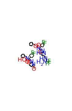 N[C@@H](CNCc1ccc2oc([C@@H](NC(=O)OCc3ccccc3)C3CCC(F)(F)CC3)nc2n1)C(F)(F)F.O=Cc1ccc2oc([C@H](C3CCC(F)(F)CC3)N(Cc3ccccc3)C(=O)O)nc2n1